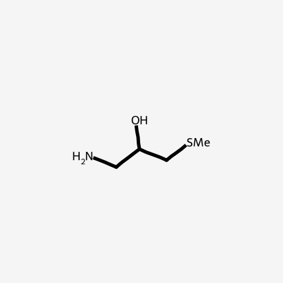 CSCC(O)CN